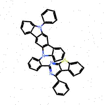 c1ccc(-c2nc(-c3ccccc3-n3c4ccccc4c4cc5c(cc43)c3ccccc3n5-c3ccccc3)nc3sc4ccccc4c23)cc1